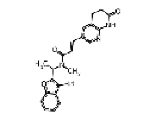 CCc1c(C(C)N(C)C(=O)/C=C/c2cnc3c(c2)CCC(=O)N3)oc2ccccc12